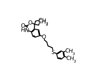 CCC1(CC)OC(=O)Nc2ccc(OCCCCSc3ccc(C)c(C)c3)cc21